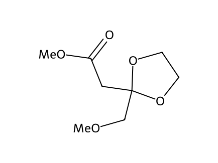 COCC1(CC(=O)OC)OCCO1